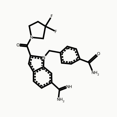 N=C(N)c1ccc2cc(C(=O)N3CCC(F)(F)C3)n(Cc3ccc(C(N)=O)cc3)c2c1